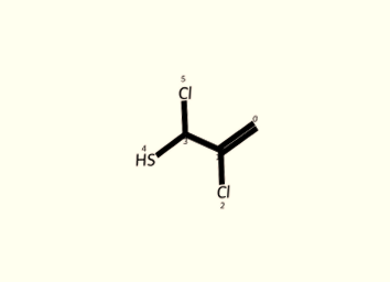 C=C(Cl)C(S)Cl